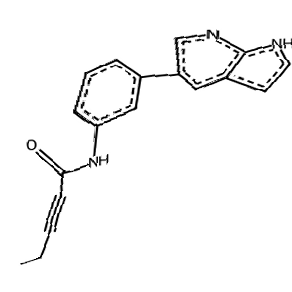 CCC#CC(=O)Nc1cccc(-c2cnc3[nH]ccc3c2)c1